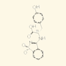 O=C(O)[C@H](Cc1ccc(O)cc1)NC1=NS(=O)(=O)c2ccccc21